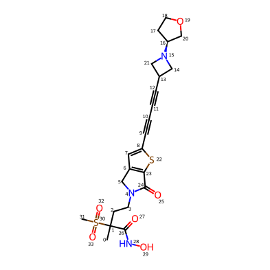 CC(CCN1Cc2cc(C#CC#CC3CN([C@H]4CCOC4)C3)sc2C1=O)(C(=O)NO)S(C)(=O)=O